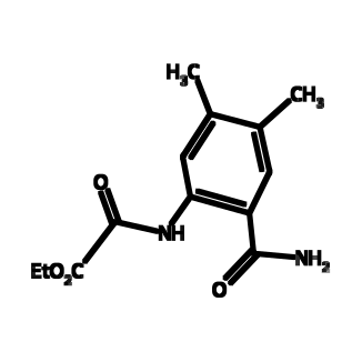 CCOC(=O)C(=O)Nc1cc(C)c(C)cc1C(N)=O